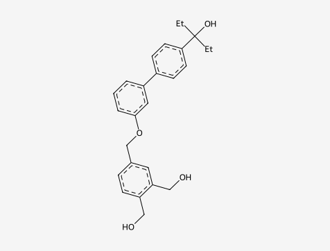 CCC(O)(CC)c1ccc(-c2cccc(OCc3ccc(CO)c(CO)c3)c2)cc1